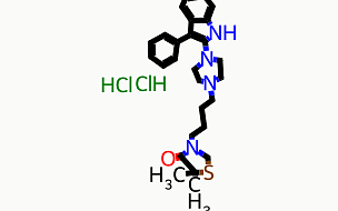 CC1(C)SCN(CCCCN2CCN(c3[nH]c4ccccc4c3-c3ccccc3)CC2)C1=O.Cl.Cl